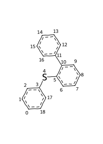 c1ccc(Sc2ccccc2-c2ccccc2)cc1